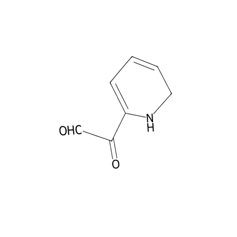 O=CC(=O)C1=CC=CCN1